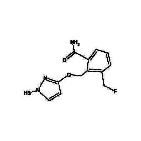 NC(=O)c1cccc(CF)c1COc1ccn(S)n1